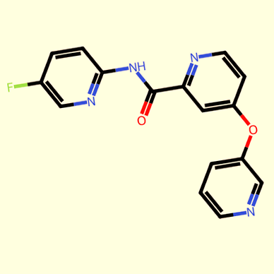 O=C(Nc1ccc(F)cn1)c1cc(Oc2cccnc2)ccn1